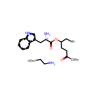 CCCCCCCCCCCCN.COC(=O)CCC(CC(C)C)OC(=O)[C@@H](N)Cc1c[nH]c2ccccc12